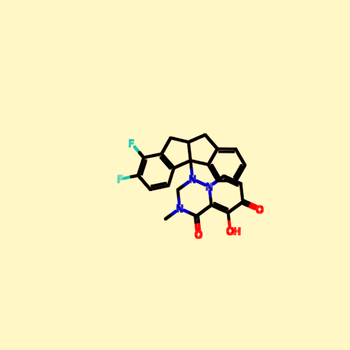 CN1CN(C23c4ccccc4CC2Cc2c3ccc(F)c2F)n2ccc(=O)c(O)c2C1=O